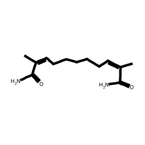 CC(=CCCCCCC=C(C)C(N)=O)C(N)=O